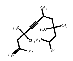 C=C(C)CC(C)(C)C#CC(C)CC(C)(C)CC(N)C(C)C